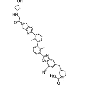 Cc1c(-c2nc3cc(CN4CC[C@@](C)(C(=O)O)C4)cc(C#N)c3o2)cccc1-c1cccc(-c2nc3c(s2)CN(C(=O)CN[C@H]2C[C@@H](O)C2)C3)c1C